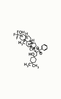 CC1(C)CCC(O)(CC(C[C@H]2CC[C@H]3[C@@H]4CC[C@H]5C[C@](O)(C(F)(F)F)CC[C@]5(C)C4CC[C@]23C)S(=O)(=O)c2ccccc2)CC1